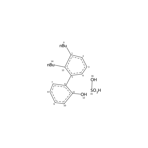 CCCCc1cccc(-c2ccccc2O)c1CCCC.O=S(=O)(O)O